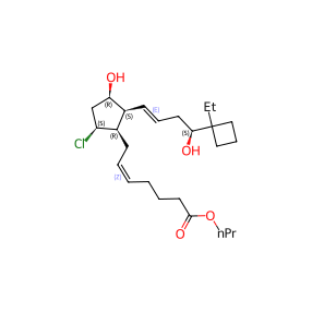 [CH2]CCOC(=O)CCC/C=C\C[C@@H]1[C@H](/C=C/C[C@H](O)C2(CC)CCC2)[C@H](O)C[C@@H]1Cl